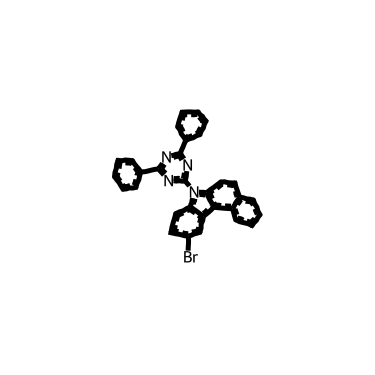 Brc1ccc2c(c1)c1c3ccccc3ccc1n2-c1nc(-c2ccccc2)nc(-c2ccccc2)n1